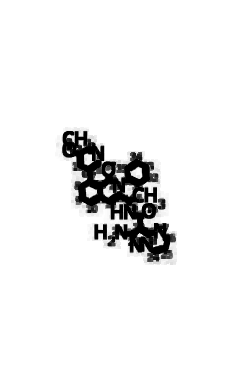 COc1cncc(-c2cccc3cc(C(C)NC(=O)c4c(N)nn5cccnc45)n(-c4ccccc4)c(=O)c23)c1